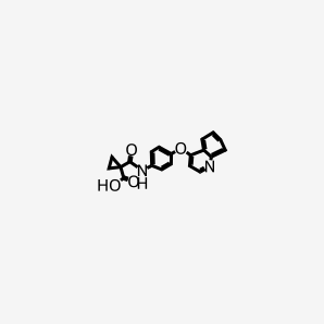 O=C(O)C1(C(=O)Nc2ccc(Oc3ccnc4ccccc34)cc2)CC1